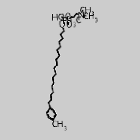 Cc1ccc(CCCCCCCCCCCCCCCCCCOP(=O)(O)OCC[N+](C)(C)C)cc1